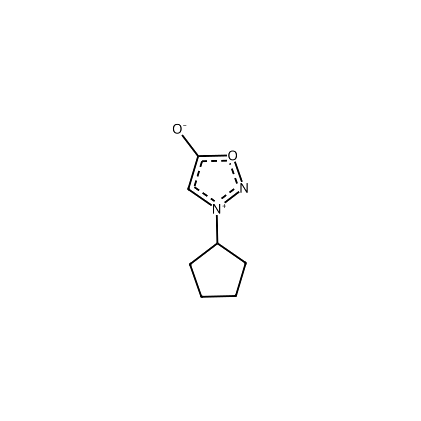 [O-]c1c[n+](C2CCCC2)no1